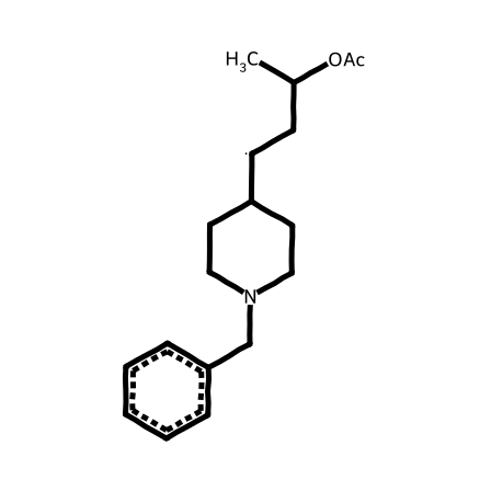 CC(=O)OC(C)C[CH]C1CCN(Cc2ccccc2)CC1